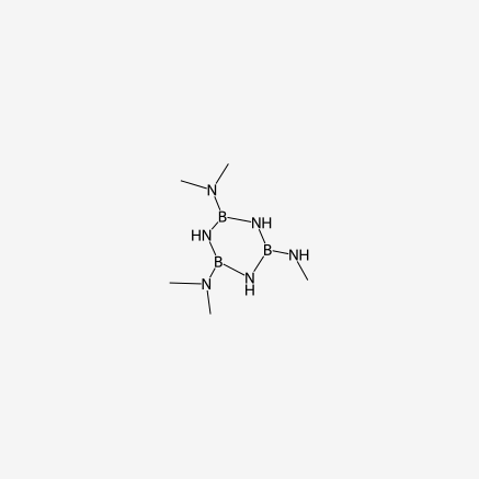 CNB1NB(N(C)C)NB(N(C)C)N1